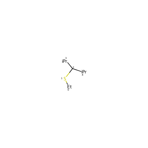 CCSC(C(C)C)C(C)C